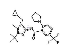 Cc1c(C(C)(C)C)s/c(=N\C(=O)c2cc(C(F)(F)F)ccc2N2CCCC2)n1CC1CC1